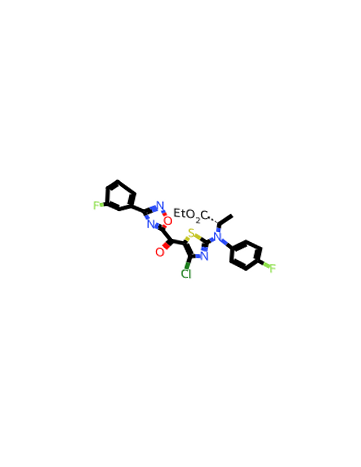 CCOC(=O)[C@H](C)N(c1ccc(F)cc1)c1nc(Cl)c(C(=O)c2nc(-c3cccc(F)c3)no2)s1